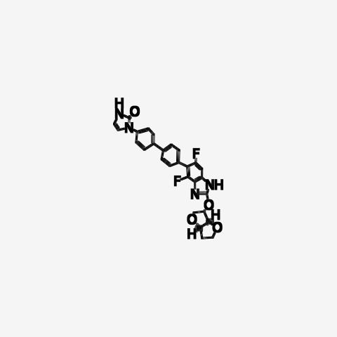 O=c1[nH]ccn1-c1ccc(-c2ccc(-c3c(F)cc4[nH]c(OC5CO[C@@H]6CCO[C@H]56)nc4c3F)cc2)cc1